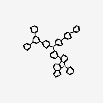 c1ccc(-c2ccc(-c3ccc(N(c4ccc(-c5cc(-c6ccccc6)cc(-c6ccccc6)c5)cc4)c4cccc(-c5cccc6c5c5ccc7ccccc7c5n6-c5ccccc5)c4)cc3)cc2)cc1